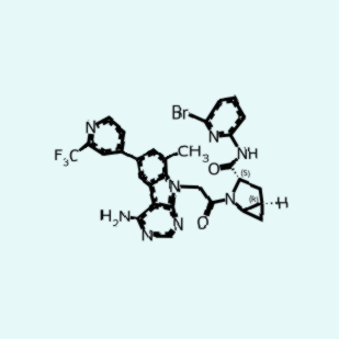 Cc1cc(-c2ccnc(C(F)(F)F)c2)cc2c3c(N)ncnc3n(CC(=O)N3C4C[C@@H]4C[C@H]3C(=O)Nc3cccc(Br)n3)c12